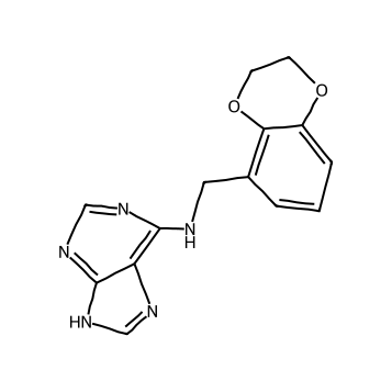 c1cc(CNc2ncnc3[nH]cnc23)c2c(c1)OCCO2